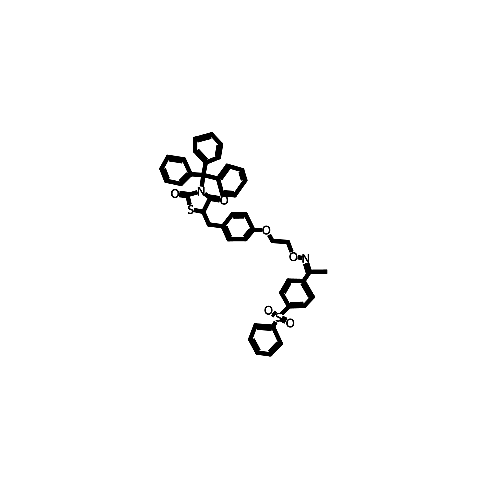 CC(=NOCCOc1ccc(CC2SC(=O)N(C(c3ccccc3)(c3ccccc3)c3ccccc3)C2=O)cc1)c1ccc(S(=O)(=O)c2ccccc2)cc1